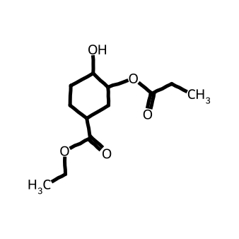 CCOC(=O)C1CCC(O)C(OC(=O)CC)C1